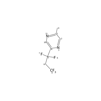 Cc1cnc(C(F)(F)CC(F)(F)F)cn1